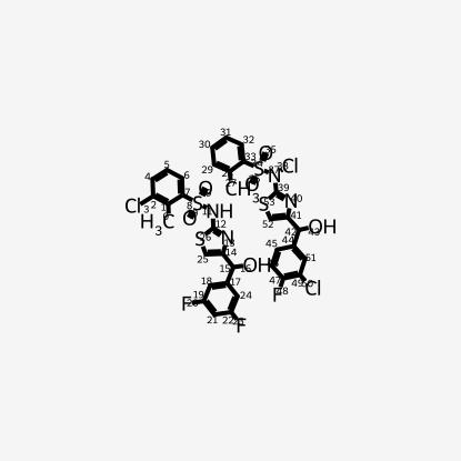 Cc1c(Cl)cccc1S(=O)(=O)Nc1nc(C(O)c2cc(F)cc(F)c2)cs1.Cc1ccccc1S(=O)(=O)N(Cl)c1nc(C(O)c2ccc(F)c(Cl)c2)cs1